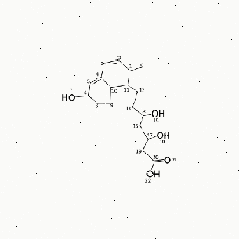 CC1C=CC2=CC(O)CCC2C1CCC(O)CC(O)CC(=O)O